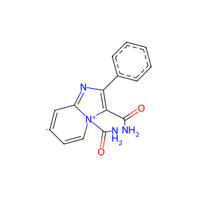 NC(=O)C1=C(c2ccccc2)N=C2C=[C]C=C[N+]21C(N)=O